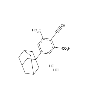 C#Cc1c(C(=O)O)cc(C23CC4CC(CC(C4)C2)C3)cc1C(=O)O.Cl.Cl